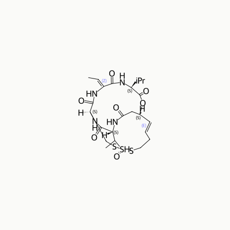 C/C=C1\NC(=O)[C@H]2CS[SH]3(=O)SCC/C=C/[C@H](CC(=O)N[C@@H](C(=O)N2)C3C)OC(=O)[C@H](C(C)C)NC1=O